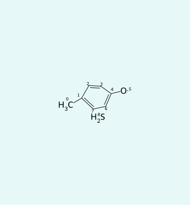 Cc1ccc([O])cc1.S